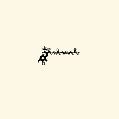 Cc1cc2c(c(C)c1Cl)C=C(C(=O)OCOC(=O)OCCOCCO[N+](=O)[O-])[C@@H](C(F)(F)F)O2